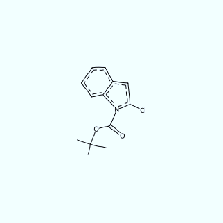 CC(C)(C)OC(=O)n1c(Cl)cc2ccccc21